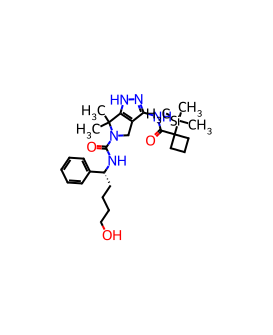 CC1(C)c2[nH]nc(NC(=O)C3([Si](C)(C)C)CCC3)c2CN1C(=O)N[C@H](CCCCO)c1ccccc1